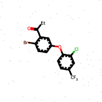 CCC(=O)c1cc(Oc2ccc(C(F)(F)F)cc2Cl)ccc1Br